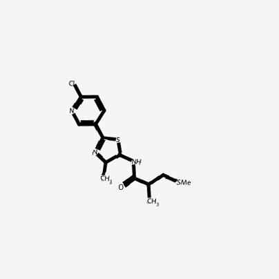 CSCC(C)C(=O)NC1SC(c2ccc(Cl)nc2)=NC1C